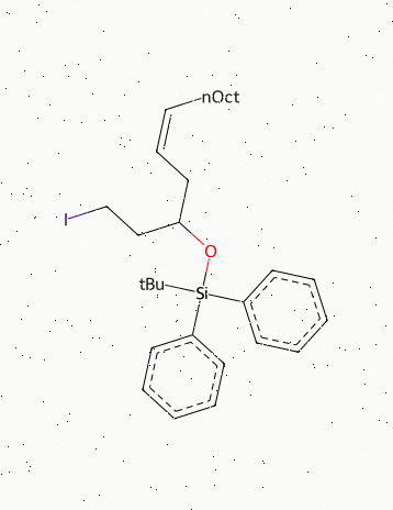 CCCCCCCC/C=C\CC(CCI)O[Si](c1ccccc1)(c1ccccc1)C(C)(C)C